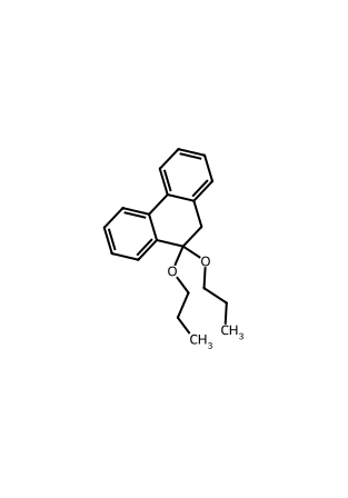 CCCOC1(OCCC)Cc2ccccc2-c2ccccc21